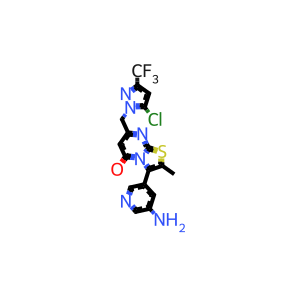 Cc1sc2nc(Cn3nc(C(F)(F)F)cc3Cl)cc(=O)n2c1-c1cncc(N)c1